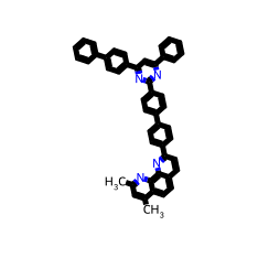 Cc1cc(C)c2ccc3ccc(-c4ccc(-c5ccc(-c6nc(-c7ccccc7)cc(-c7ccc(-c8ccccc8)cc7)n6)cc5)cc4)nc3c2n1